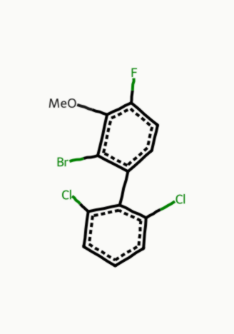 COc1c(F)ccc(-c2c(Cl)cccc2Cl)c1Br